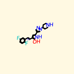 Oc1[nH]c(-c2cnn(C3CCNCC3)c2)cc1/C=C/c1cc(F)ccc1F